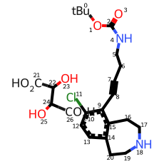 CC(C)(C)OC(=O)NCCC#Cc1c(Cl)ccc2c1CCNCC2.O=C(O)C(O)C(O)C(=O)O